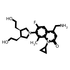 Cc1c(N2C[C@@H](CCO)[C@@H](CCO)C2)c(F)cc2c(CN)cc(=O)n(C3CC3)c12